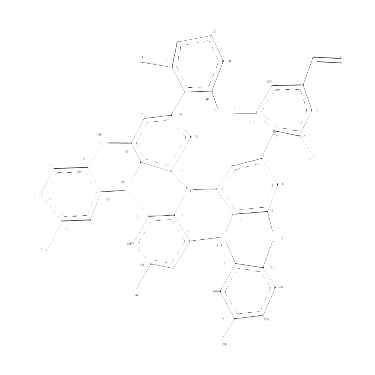 C=Cc1cc(C)c(-c2cc3c4c(c2)N2c5cc(-c6c(C)cccc6C)cc6c5B(c5cc(C)ccc5O6)c5cc(C)cc(c52)B4c2cc(C)ccc2O3)c(C)c1